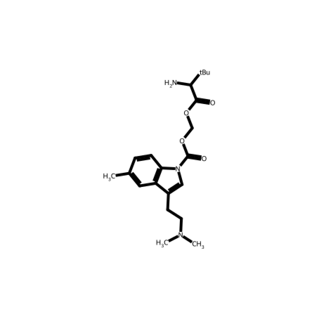 Cc1ccc2c(c1)c(CCN(C)C)cn2C(=O)OCOC(=O)C(N)C(C)(C)C